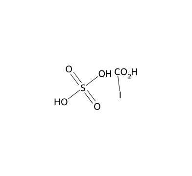 O=C(O)I.O=S(=O)(O)O